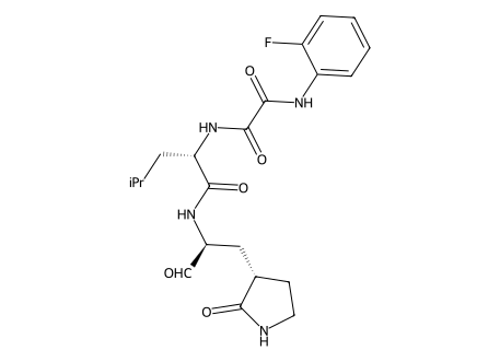 CC(C)C[C@H](NC(=O)C(=O)Nc1ccccc1F)C(=O)N[C@H](C=O)C[C@@H]1CCNC1=O